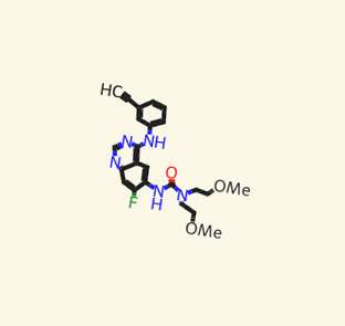 C#Cc1cccc(Nc2ncnc3cc(F)c(NC(=O)N(CCOC)CCOC)cc23)c1